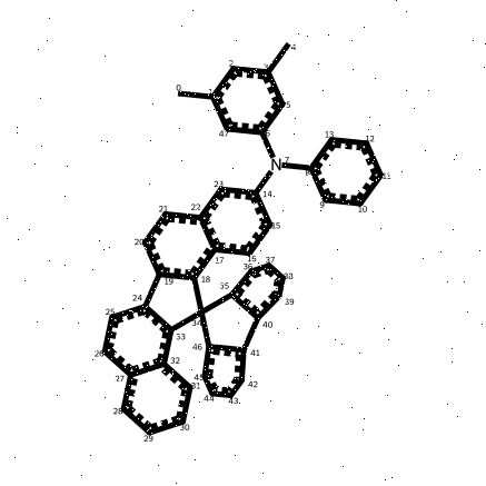 Cc1cc(C)cc(N(c2ccccc2)c2ccc3c4c(ccc3c2)-c2ccc3ccccc3c2C42c3ccccc3-c3ccccc32)c1